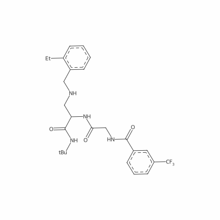 CCc1ccccc1CNCC(NC(=O)CNC(=O)c1cccc(C(F)(F)F)c1)C(=O)NC(C)(C)C